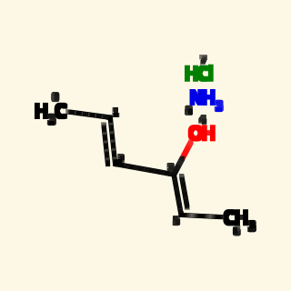 CC=CC(O)=CC.Cl.N